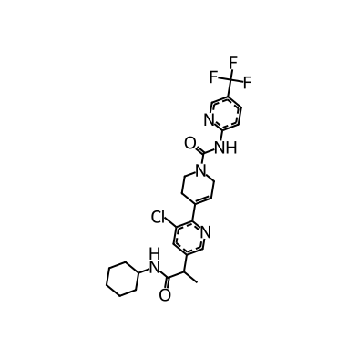 CC(C(=O)NC1CCCCC1)c1cnc(C2=CCN(C(=O)Nc3ccc(C(F)(F)F)cn3)CC2)c(Cl)c1